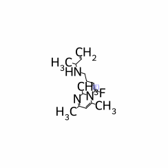 C=CC(C)NCC/C=C(/F)N1C(C)=CC(C)=NC1C